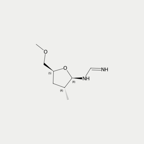 COC[C@@H]1C[C@@H](C)[C@H](NC=N)O1